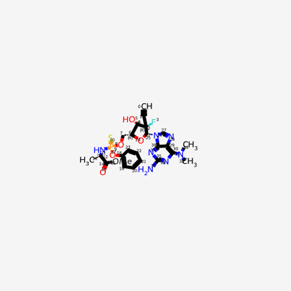 C#C[C@@]1(F)[C@H](O)[C@@H](COP(=S)(N[C@@H](C)C(=O)OC)Oc2ccccc2)O[C@H]1n1cnc2c(N(C)C)nc(N)nc21